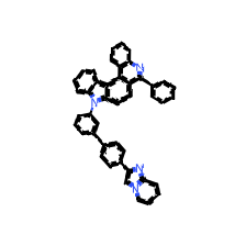 c1ccc(-c2nc3ccccc3c3c2ccc2c3c3ccccc3n2-c2cccc(-c3ccc(-c4cn5ccccc5n4)cc3)c2)cc1